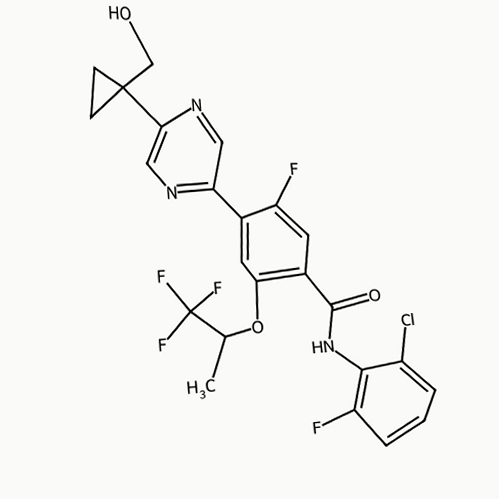 CC(Oc1cc(-c2cnc(C3(CO)CC3)cn2)c(F)cc1C(=O)Nc1c(F)cccc1Cl)C(F)(F)F